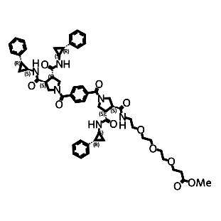 COC(=O)CCOCCOCCOCCNC(=O)[C@@H]1CN(C(=O)c2ccc(C(=O)N3C[C@@H](C(=O)N[C@H]4C[C@@H]4c4ccccc4)[C@H](C(=O)N[C@H]4C[C@@H]4c4ccccc4)C3)cc2)C[C@H]1C(=O)N[C@H]1C[C@@H]1c1ccccc1